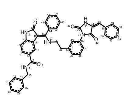 O=C1Nc2ccc(C(=O)NCc3ccccc3)cc2C1=C(NCCc1cccc(N2C(=O)NC(=Cc3ccncc3)C2=O)c1)c1ccccc1